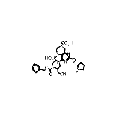 CN1CCC[C@H]1COc1nc2c(c(N3CCN(C(=O)OCc4ccccc4)[C@@H](CC#N)C3)n1)N(C(=O)O)CCN(C(=O)O)C2